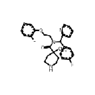 CC1(C(=O)N(CCOc2ccccc2F)C(c2ccc(F)cc2)c2ccccn2)CCNCC1